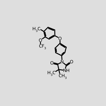 Cc1ccc(Oc2ccc(N3C(=O)NC(C)(C)C3=O)cc2)cc1OC(F)(F)F